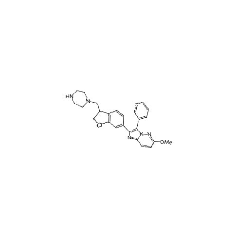 COc1ccc2nc(-c3ccc4c(c3)OCC4CN3CCNCC3)c(-c3ccccc3)n2n1